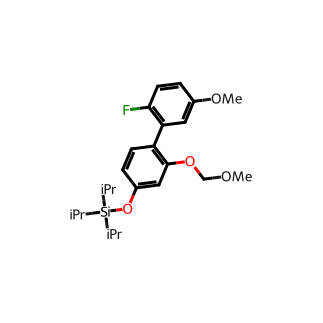 COCOc1cc(O[Si](C(C)C)(C(C)C)C(C)C)ccc1-c1cc(OC)ccc1F